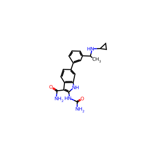 CC(NC1CC1)c1cccc(-c2ccc3c(C(N)=O)c(NC(N)=O)[nH]c3c2)c1